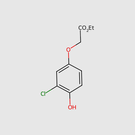 CCOC(=O)COc1ccc(O)c(Cl)c1